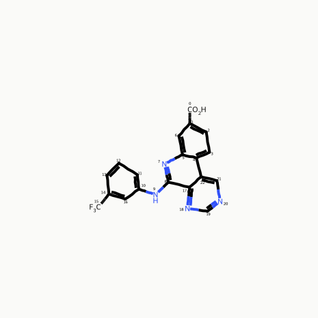 O=C(O)c1ccc2c(c1)nc(Nc1cccc(C(F)(F)F)c1)c1ncncc12